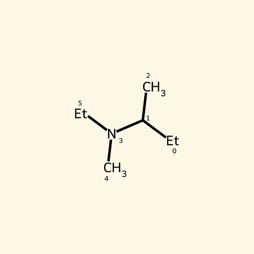 CCC(C)N(C)CC